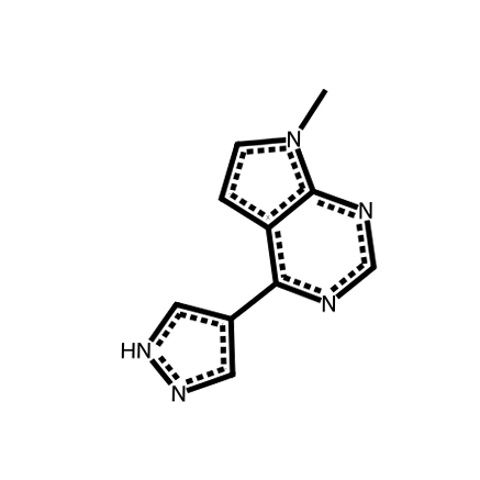 Cn1ccc2c(-c3cn[nH]c3)ncnc21